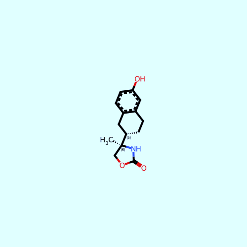 C[C@@]1([C@H]2CCc3cc(O)ccc3C2)COC(=O)N1